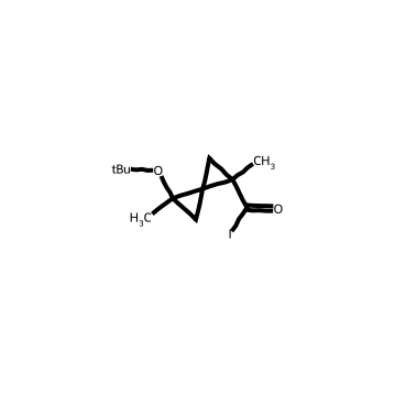 CC(C)(C)OC1(C)CC12CC2(C)C(=O)I